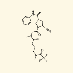 C=C(Nc1ccccc1)C1CC(C#N)N(C(=O)CN(C)C(=O)CCCN(C)C(=O)C(F)(F)F)C1